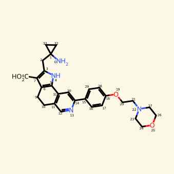 NC1(Cc2[nH]c3c(c2C(=O)O)CCc2cnc(-c4ccc(OCCN5CCOCC5)cc4)cc2-3)CC1